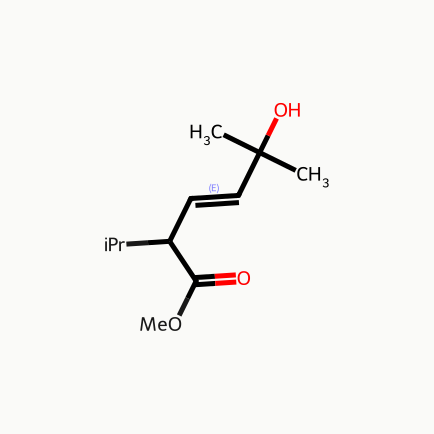 COC(=O)C(/C=C/C(C)(C)O)C(C)C